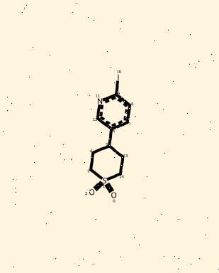 O=S1(=O)CCC(c2ccc(I)nc2)CC1